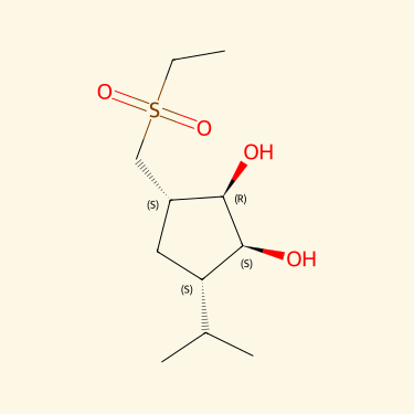 CCS(=O)(=O)C[C@H]1C[C@@H](C(C)C)[C@H](O)[C@@H]1O